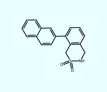 O=S1(=O)Cc2c(cccc2-c2ccc3ccccc3c2)CN1